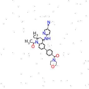 CC(=O)N1c2ccc(-c3ccc(C(=O)N4CCOCC4)cc3)cc2[C@H](Nc2ccc(C#N)cn2)C[C@@H]1C